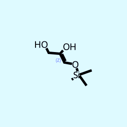 C[Si](C)(C)O/C=C(\O)CO